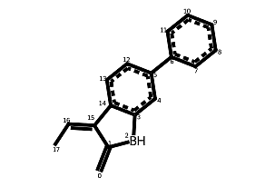 C=C1Bc2cc(-c3ccccc3)ccc2/C1=C/C